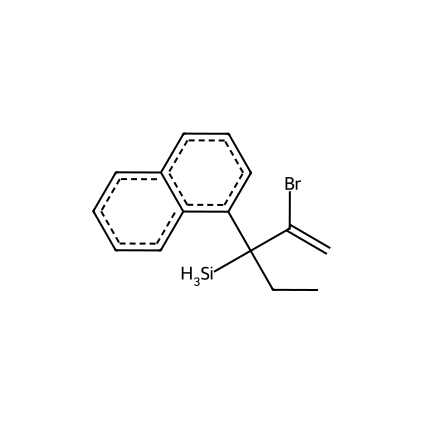 C=C(Br)C([SiH3])(CC)c1cccc2ccccc12